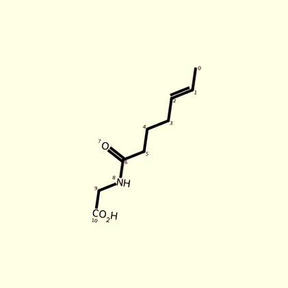 CC=CCCCC(=O)NCC(=O)O